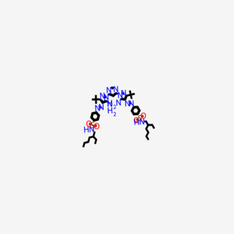 CCCCC(CC)CNS(=O)(=O)c1ccc(/N=N/c2c(C(C)(C)C)nn(-c3cc(-n4nc(C(C)(C)C)c(/N=N/c5ccc(S(=O)(=O)NCC(CC)CCCC)cc5)c4N)ncn3)c2N)cc1